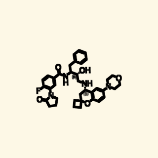 O=C(NC(Cc1ccccc1)[C@H](O)CN[C@H]1CC2(CCC2)Oc2ccc(N3CCOCC3)cc21)c1ccc(F)c(N2CCCC2=O)c1